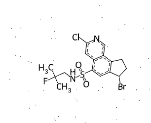 CC(C)(F)CNS(=O)(=O)c1cc2c(c3cnc(Cl)cc13)CCC2Br